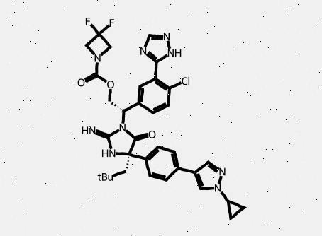 CC(C)(C)C[C@]1(c2ccc(-c3cnn(C4CC4)c3)cc2)NC(=N)N([C@H](COC(=O)N2CC(F)(F)C2)c2ccc(Cl)c(-c3ncn[nH]3)c2)C1=O